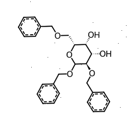 O[C@@H]1[C@H](O)[C@@H](OCc2ccccc2)C(OCc2ccccc2)O[C@@H]1COCc1ccccc1